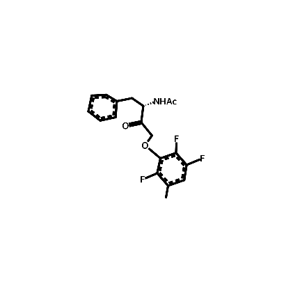 CC(=O)N[C@@H](Cc1ccccc1)C(=O)COc1c(F)c(C)cc(F)c1F